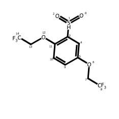 O=[SH](=O)c1cc(OCC(F)(F)F)ccc1OCC(F)(F)F